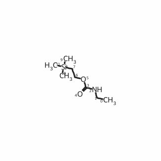 CCNC(=O)OCC[Si](C)(C)C